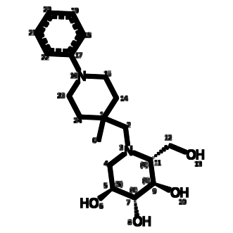 CC1(CN2C[C@H](O)[C@@H](O)[C@H](O)[C@H]2CO)CCN(c2ccccc2)CC1